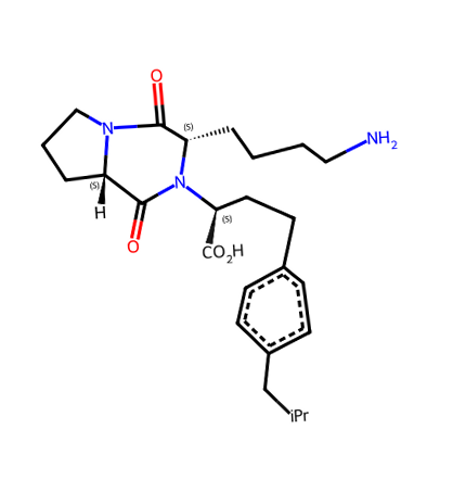 CC(C)Cc1ccc(CC[C@@H](C(=O)O)N2C(=O)[C@@H]3CCCN3C(=O)[C@@H]2CCCCN)cc1